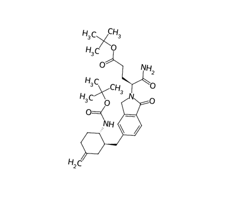 C=C1CC[C@H](NC(=O)OC(C)(C)C)[C@@H](Cc2ccc3c(c2)CN([C@@H](CCC(=O)OC(C)(C)C)C(N)=O)C3=O)C1